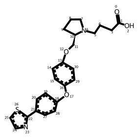 O=C(O)CCCN1CCC[C@@H]1COc1ccc(Oc2ccc(-c3nccs3)cc2)cc1